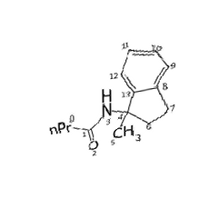 CCCC(=O)NC1(C)CCc2ccccc21